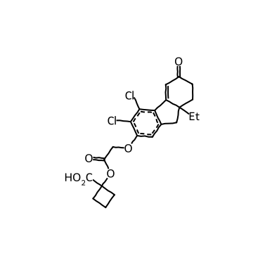 CCC12CCC(=O)C=C1c1c(cc(OCC(=O)OC3(C(=O)O)CCC3)c(Cl)c1Cl)C2